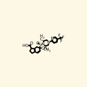 C[C@@H]1CN(c2ccc(C(F)(F)F)cn2)C[C@H](C)N1[S+]([O-])C1(C)C=CC2=C(C1)C(C(=O)O)CC2